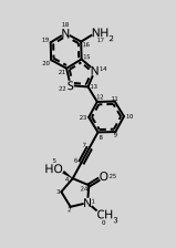 CN1CC[C@](O)(C#Cc2cccc(-c3nc4c(N)nccc4s3)c2)C1=O